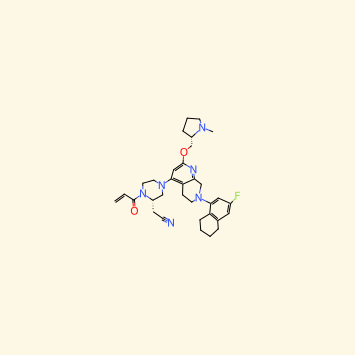 C=CC(=O)N1CCN(c2cc(OC[C@@H]3CCCN3C)nc3c2CCN(c2cc(F)cc4c2CCCC4)C3)C[C@@H]1CC#N